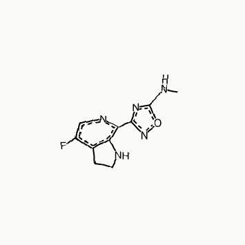 CNc1nc(-c2ncc(F)c3c2NCC3)no1